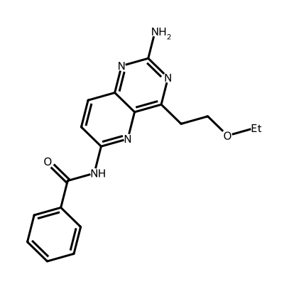 CCOCCc1nc(N)nc2ccc(NC(=O)c3ccccc3)nc12